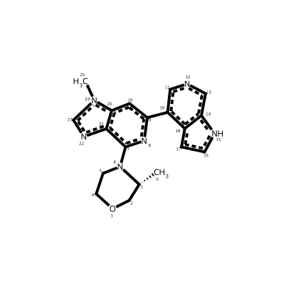 C[C@@H]1COCCN1c1nc(-c2cncc3[nH]ccc23)cc2c1ncn2C